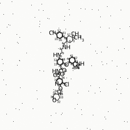 CC1(C)CCC(CNCCNc2ccc(C(=O)NS(=O)(=O)c3cnc(OCC4(F)CCOCC4)c(Cl)c3)c(Oc3cccc4[nH]ncc34)c2)=C(c2ccc(Cl)cc2)C1